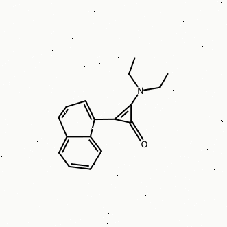 CCN(CC)c1c(-c2cccc3ccccc23)c1=O